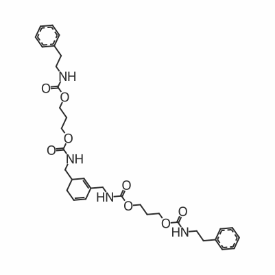 O=C(NCCc1ccccc1)OCCCOC(=O)NCC1=CC(CNC(=O)OCCCOC(=O)NCCc2ccccc2)CC=C1